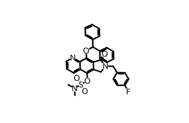 CN(C)S(=O)(=O)Oc1c2c(c(OC(c3ccccc3)c3ccccc3)c3ncccc13)C(=O)N(Cc1ccc(F)cc1)C2